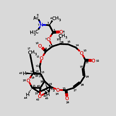 CC(=O)N(C)[C@@H](C)C(=O)O[C@@H]1C(=O)OC[C@]23CCC(C)=C[C@H]2O[C@@H]2C[C@@H](OC(=O)/C=C\C=C\C(=O)OCC[C@H]1C)[C@@]3(C)[C@]21CO1